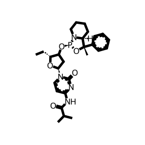 CC[C@H]1O[C@@H](n2ccc(NC(=O)C(C)C)nc2=O)CC1O[P@]1O[C@@](C)(c2ccccc2)[C@@H]2CCCCN21